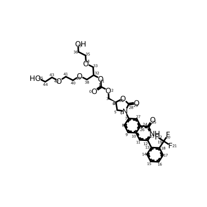 O=C(OC[C@@H]1CN(c2ccc3cc(-c4ccccc4C(F)(F)F)[nH]c(=O)c3c2)C(=O)O1)OC(COCCO)COCCOCCO